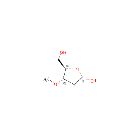 CO[C@H]1C[C@@H](O)O[C@@H]1CO